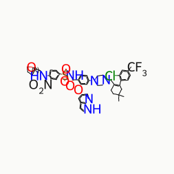 CC1(C)CCC(CN2CCN(c3ccc(C(=O)NS(=O)(=O)c4ccc(NC[C@H]5CCCO5)c([N+](=O)[O-])c4)c(Oc4cnc5[nH]ccc5c4)c3)CC2)=C(c2ccc(C(F)(F)F)cc2Cl)C1